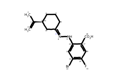 C=C(C)[C@H]1CCC/C(=N\Nc2cc(Br)c(F)cc2C(=O)O)C1